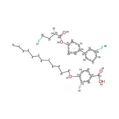 CCCCCCCCCCCCOc1ccc(C(=O)O)cc1F.C[C@@H](CCF)C(=O)Oc1ccc(-c2cccc(F)c2)cc1